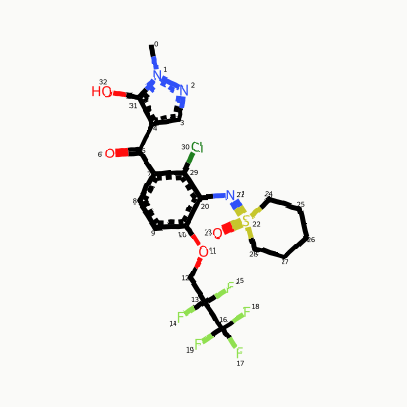 Cn1ncc(C(=O)c2ccc(OCC(F)(F)C(F)(F)F)c(N=S3(=O)CCCCC3)c2Cl)c1O